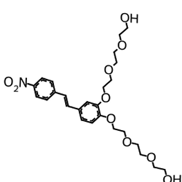 O=[N+]([O-])c1ccc(C=Cc2ccc(OCCOCCOCCO)c(OCCOCCOCCO)c2)cc1